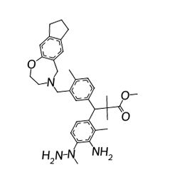 COC(=O)C(C)(C)C(c1ccc(C)c(CN2CCOc3cc4c(cc3C2)CCC4)c1)c1ccc(N(C)N)c(N)c1C